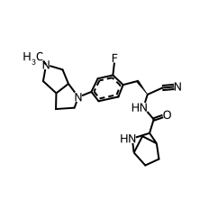 CN1CC2CCN(c3ccc(C[C@@H](C#N)NC(=O)C4NC5CCC4C5)c(F)c3)C2C1